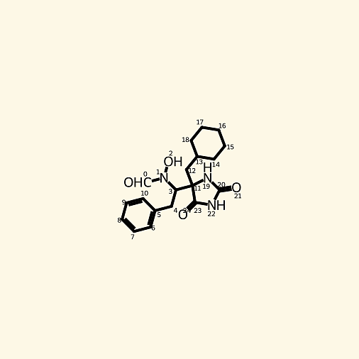 O=CN(O)C(Cc1ccccc1)C1(CC2CCCCC2)NC(=O)NC1=O